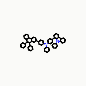 c1ccc(-c2c(-c3ccccc3)c3cc(-c4ccc(N(c5ccccc5)c5ccc(-c6cccc7c8ccccc8n(-c8ccccc8)c67)cc5)cc4)ccc3c3ccccc23)cc1